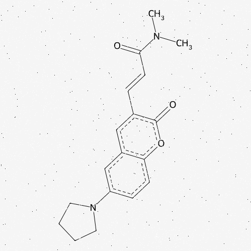 CN(C)C(=O)C=Cc1cc2cc(N3CCCC3)ccc2oc1=O